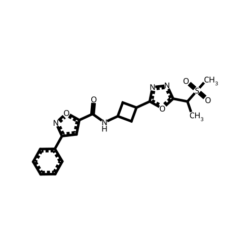 CC(c1nnc(C2CC(NC(=O)c3cc(-c4ccccc4)no3)C2)o1)S(C)(=O)=O